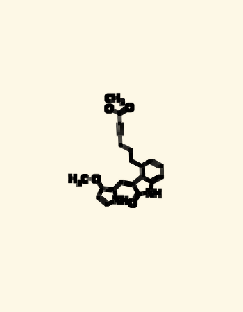 COC(=O)C#CCCCc1cccc2c1C(=Cc1[nH]ccc1OC)C(=O)N2